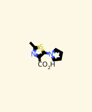 Cc1nc(C(=O)O)c(-n2cccc2)s1